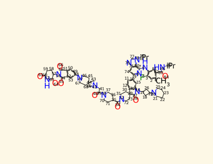 Cc1cc(F)c(Nc2nc(-c3ccc4c(c3)N(C3CC(N5CCCCC5)C3)C(=O)C43CCN(C(=O)C4CCN(C(=O)CN5CC6(CCN(c7ccc8c(c7)C(=O)N(C7CCC(=O)NC7=O)C8=O)CC6)C5)CC4)CC3)cc3ncn(C(C)C)c23)cc1C(=O)NC(C)C